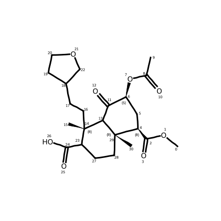 COC(=O)[C@@H]1C[C@H](OC(C)=O)C(=O)C2[C@@](C)(CCC3CCOC3)C(C(=O)O)CC[C@]21C